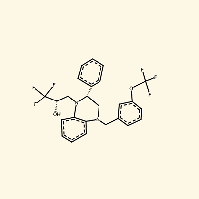 O[C@@H](CN1c2ccccc2N(Cc2cccc(OC(F)(F)F)c2)C[C@H]1c1ccccc1)C(F)(F)F